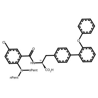 CCCCCN(CCCCC)c1ccc(Cl)cc1C(=O)N[C@@H](Cc1ccc(-c2ccccc2Oc2ccccc2)cc1)C(=O)O